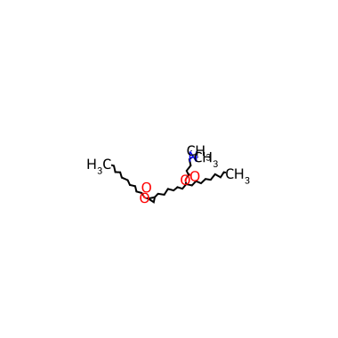 CCCCCCCCCC(=O)OC1CC1CCCCCCC(CCCCCCCCC)OC(=O)CCCN(C)C